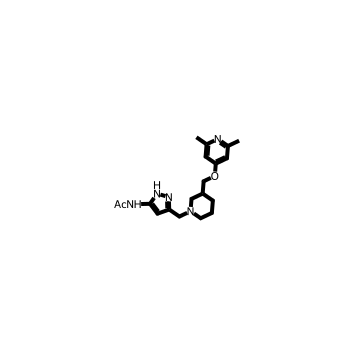 CC(=O)Nc1cc(CN2CCCC(COc3cc(C)nc(C)c3)C2)n[nH]1